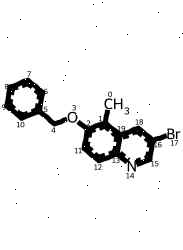 Cc1c(OCc2ccccc2)ccc2ncc(Br)cc12